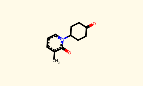 Cc1cccn(C2CCC(=O)CC2)c1=O